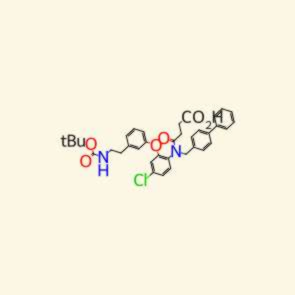 CC(C)(C)OC(=O)NCCc1cccc(Oc2cc(Cl)ccc2N(Cc2ccc(-c3ccccc3)cc2)C(=O)CCC(=O)O)c1